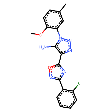 COc1ccc(C)cc1-n1nnc(-c2nc(-c3ccccc3Cl)no2)c1N